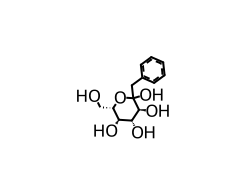 OC[C@@H]1OC(O)(Cc2ccccc2)[C@@H](O)[C@H](O)[C@H]1O